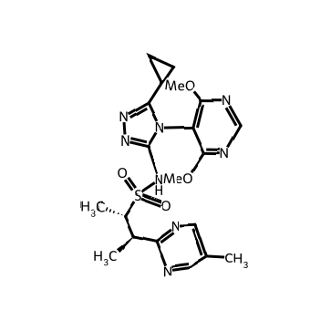 COc1ncnc(OC)c1-n1c(NS(=O)(=O)[C@@H](C)[C@H](C)c2ncc(C)cn2)nnc1C1CC1